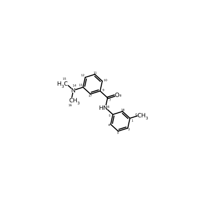 Cc1cccc(NC(=O)c2cccc(N(C)C)c2)c1